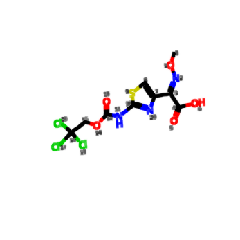 CO/N=C(/C(=O)O)c1csc(NC(=O)OCC(Cl)(Cl)Cl)n1